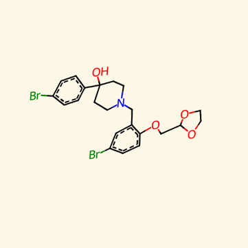 OC1(c2ccc(Br)cc2)CCN(Cc2cc(Br)ccc2OCC2OCCO2)CC1